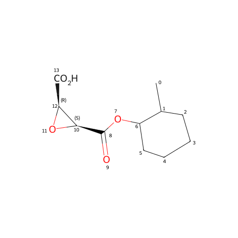 CC1CCCCC1OC(=O)[C@H]1O[C@H]1C(=O)O